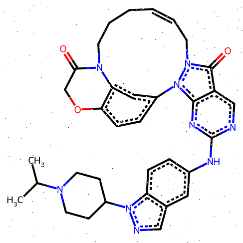 CC(C)N1CCC(n2ncc3cc(Nc4ncc5c(=O)n6n(c5n4)-c4ccc5c(c4)N(CCC/C=C\C6)C(=O)CO5)ccc32)CC1